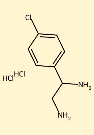 Cl.Cl.NCC(N)c1ccc(Cl)cc1